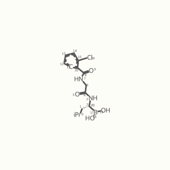 CC(C)C[C@H](NC(=O)CNC(=O)c1ccccc1Cl)B(O)O